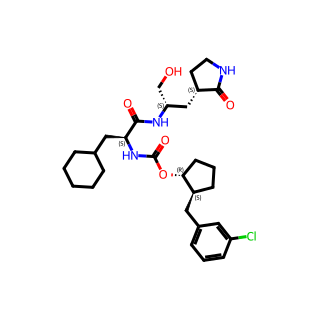 O=C(N[C@@H](CC1CCCCC1)C(=O)N[C@H](CO)C[C@@H]1CCNC1=O)O[C@@H]1CCC[C@H]1Cc1cccc(Cl)c1